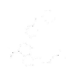 CC(CNc1ncnc2c(C(N)=O)cc(-c3ccc(CN4CCOCC4)cc3)nc12)NC(=O)OC(C)(C)C